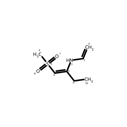 C=CN/C(=C\S(C)(=O)=O)CC